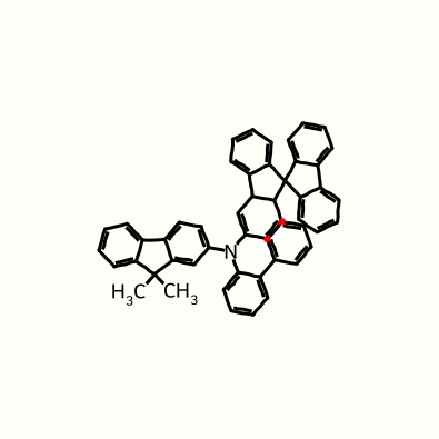 CC1(C)c2ccccc2-c2ccc(N(C3=CC4c5ccccc5C5(c6ccccc6-c6ccccc65)C4C=C3)c3ccccc3-c3ccccc3)cc21